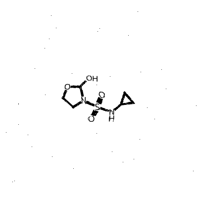 O=S(=O)(NC1CC1)N1CCOC1O